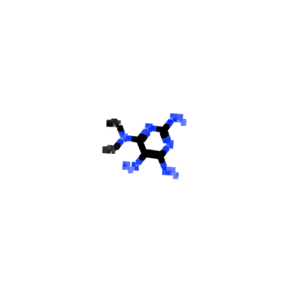 CCCN(CCC)c1nc(N)nc(N)c1N